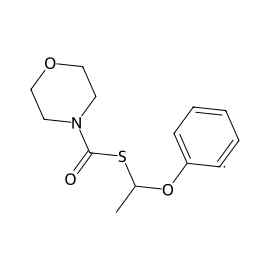 CC(Oc1[c]cccc1)SC(=O)N1CCOCC1